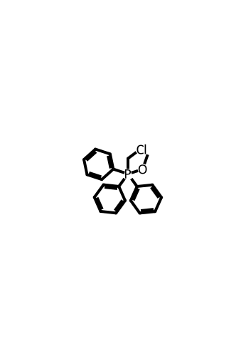 COP(CCl)(c1ccccc1)(c1ccccc1)c1ccccc1